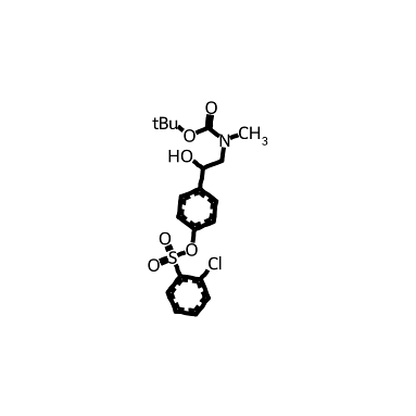 CN(CC(O)c1ccc(OS(=O)(=O)c2ccccc2Cl)cc1)C(=O)OC(C)(C)C